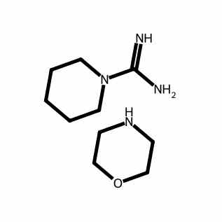 C1COCCN1.N=C(N)N1CCCCC1